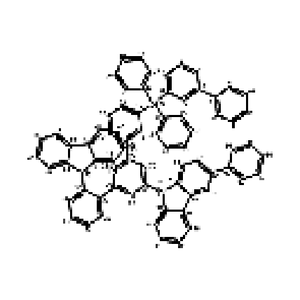 c1ccc(-c2cccc([Si](c3ccccc3)(c3ccccc3)c3cccc(-c4nc(-c5ccccc5C5c6ccccc6-c6ccccc65)nc(-n5c6ccccc6c6cc(-c7ccccc7)ccc65)n4)c3)c2)cc1